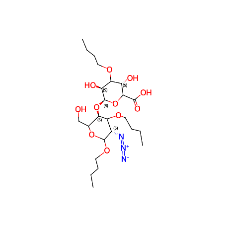 CCCCOC1OC(CO)[C@@H](O[C@@H]2OC(C(=O)O)[C@@H](O)C(OCCCC)[C@@H]2O)C(OCCCC)[C@@H]1N=[N+]=[N-]